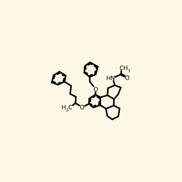 CC(=O)NC1CCC2C(C1)c1c(OCc3ccccc3)cc(OC(C)CCCc3ccccc3)cc1C1CCCCC12